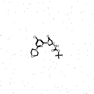 CC(C)(C)OC(=O)N[C@@H]1CC(=O)N(c2cc(Cl)cc(N3CCOCC3)n2)C1